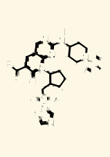 CS(=O)(=O)N1CCC(Nc2ncc3cc(C(F)F)c(=O)n(C4CCCC4CS(=O)(=O)n4cncn4)c3n2)CC1